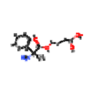 CC(N)(C(=O)OCCCC(=O)O)c1ccccc1